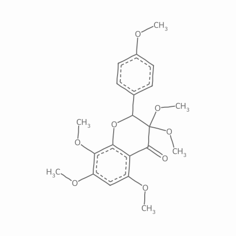 COc1ccc(C2Oc3c(OC)c(OC)cc(OC)c3C(=O)C2(OC)OC)cc1